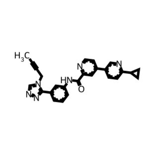 CC#CCn1cnnc1-c1cccc(NC(=O)c2cc(-c3ccc(C4CC4)nc3)ccn2)c1